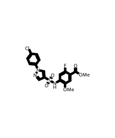 COC(=O)c1cc(OC)c(NS(=O)(=O)c2cnn(-c3ccc(Cl)cc3)c2)cc1F